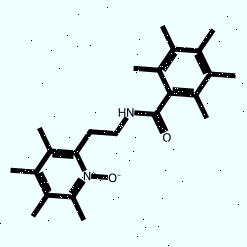 Cc1c(C)c(C)c(C(=O)NCCc2c(C)c(C)c(C)c(C)[n+]2[O-])c(C)c1C